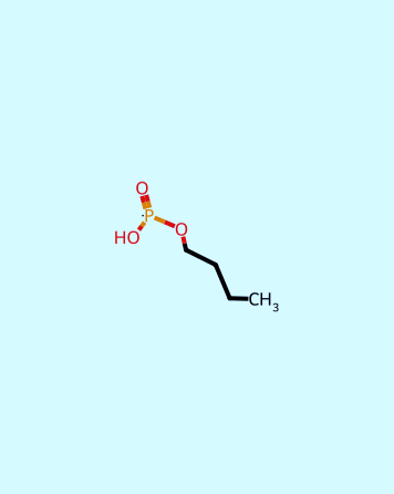 CCCCO[P](=O)O